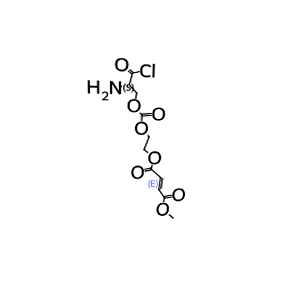 COC(=O)/C=C/C(=O)OCCOC(=O)OC[C@H](N)C(=O)Cl